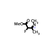 C/N=C(/C)C(F)C(=O)OC